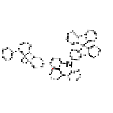 c1ccc(-c2ccccc2N(c2ccc(-c3ccc4oc5c(-c6ccccc6)cccc5c4c3)cc2)c2ccc3c(c2)-c2ccccc2C32c3ccccc3-c3ccccc32)cc1